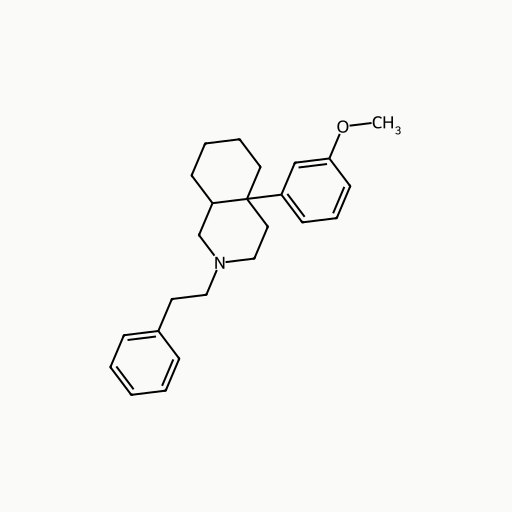 COc1cccc(C23CCCCC2CN(CCc2ccccc2)CC3)c1